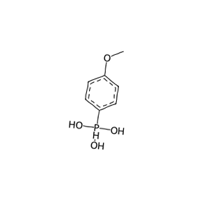 COc1ccc([PH](O)(O)O)cc1